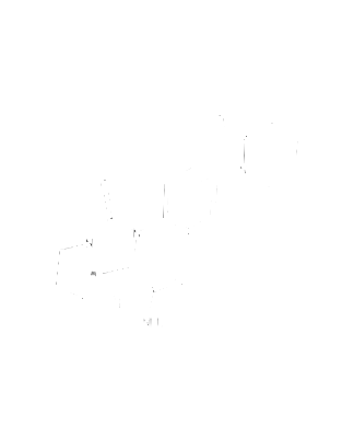 NC(=O)C1[C@H]2[CH]CCN2C(=O)N1c1ccc(N2CCCCC2=O)cc1